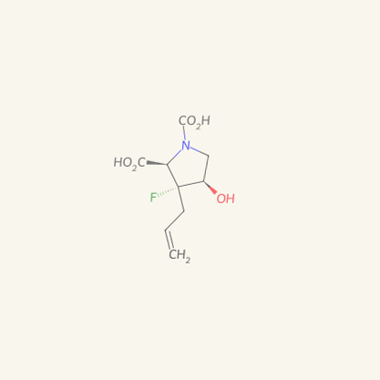 C=CC[C@]1(F)[C@H](O)CN(C(=O)O)[C@@H]1C(=O)O